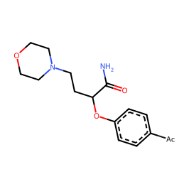 CC(=O)c1ccc(OC(CCN2CCOCC2)C(N)=O)cc1